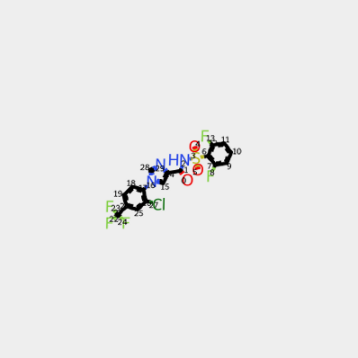 O=C(NS(=O)(=O)c1c(F)cccc1F)c1cn(-c2ccc(C(F)(F)F)cc2Cl)cn1